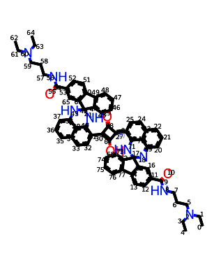 CCN(CC)CCCNC(=O)c1ccc2c(c1)C1(N=c3cccc4cc/c(=C5\C(=O)C(c6ccc7cccc8c7c6NC6(N8)c7ccccc7-c7ccc(C(=O)NCCCN(CC)CC)cc76)=C5O)c(c34)N1)c1ccccc1-2